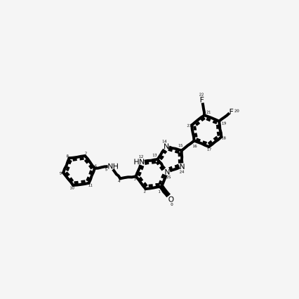 O=c1cc(CNc2ccccc2)[nH]c2nc(-c3ccc(F)c(F)c3)nn12